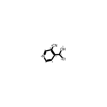 CCC(O)c1ccncc1C#N